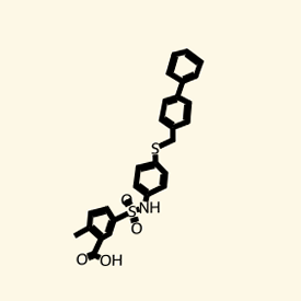 Cc1ccc(S(=O)(=O)Nc2ccc(SCc3ccc(-c4ccccc4)cc3)cc2)cc1C(=O)O